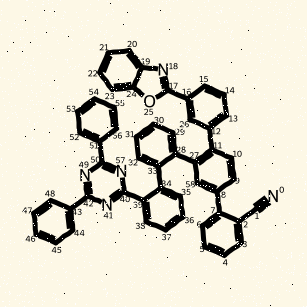 N#Cc1ccccc1-c1ccc(-c2cccc(-c3nc4ccccc4o3)c2)c(-c2ccccc2-c2ccccc2-c2nc(-c3ccccc3)nc(-c3ccccc3)n2)c1